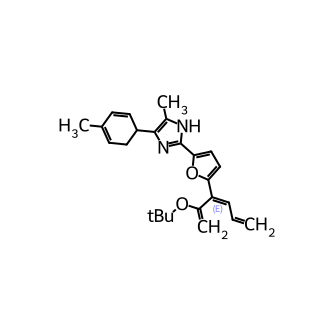 C=C/C=C(\C(=C)OC(C)(C)C)c1ccc(-c2nc(C3C=CC(C)=CC3)c(C)[nH]2)o1